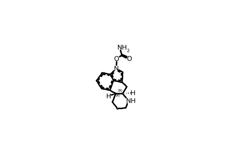 NC(=O)On1cc2c3c(cccc31)[C@H]1CCCN[C@@H]1C2